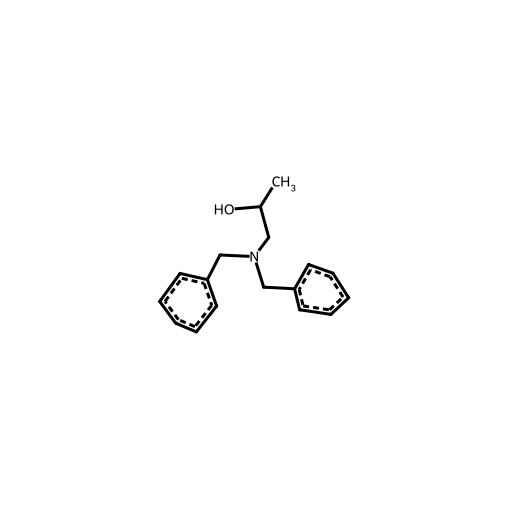 CC(O)CN(Cc1ccccc1)Cc1ccccc1